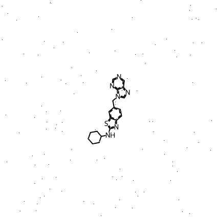 c1ncc2ncn(Cc3ccc4nc(NC5CCCCC5)sc4c3)c2n1